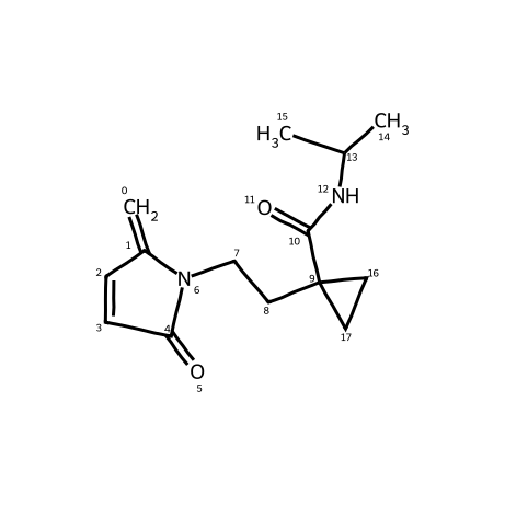 C=C1C=CC(=O)N1CCC1(C(=O)NC(C)C)CC1